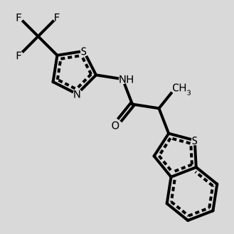 CC(C(=O)Nc1ncc(C(F)(F)F)s1)c1cc2ccccc2s1